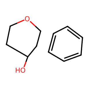 OC1CCOCC1.c1ccccc1